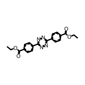 CCOC(=O)c1ccc(-c2nnc(-c3ccc(C(=O)OCC)cc3)nn2)cc1